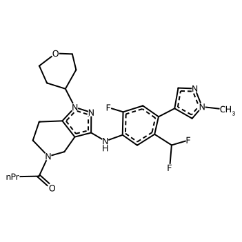 CCCC(=O)N1CCc2c(c(Nc3cc(C(F)F)c(-c4cnn(C)c4)cc3F)nn2C2CCOCC2)C1